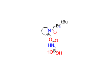 CC(C)(C)/C=B/CC(=O)N1CCCCC[C@H]1COC(=O)NCB(O)O